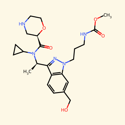 COC(=O)NCCCn1nc([C@@H](C)N(C(=O)[C@H]2CNCCO2)C2CC2)c2ccc(CO)cc21